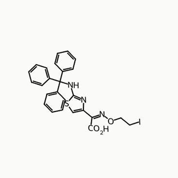 O=C(O)C(=NOCCI)c1csc(NC(c2ccccc2)(c2ccccc2)c2ccccc2)n1